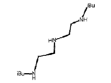 CCC(C)NCCNCCNC(C)CC